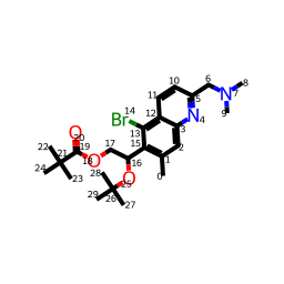 Cc1cc2nc(CN(C)C)ccc2c(Br)c1C(COC(=O)C(C)(C)C)OC(C)(C)C